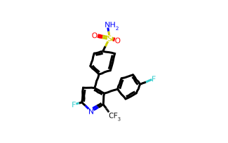 NS(=O)(=O)c1ccc(-c2cc(F)nc(C(F)(F)F)c2-c2ccc(F)cc2)cc1